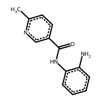 Cc1ccc(C(=O)Nc2ccccc2N)cn1